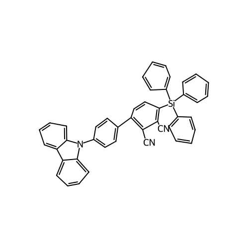 N#Cc1c(-c2ccc(-n3c4ccccc4c4ccccc43)cc2)ccc([Si](c2ccccc2)(c2ccccc2)c2ccccc2)c1C#N